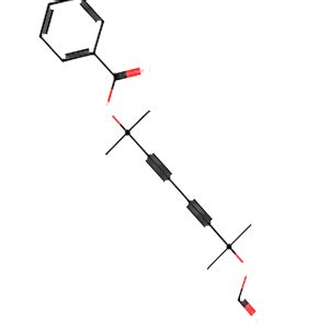 CC(C)(C#CC#CC(C)(C)OC(=O)c1ccccc1)OC=O